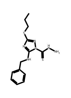 CCCSc1nc(NCc2ccccc2)n(C(=S)NN)n1